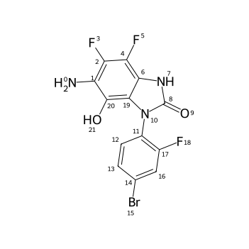 Nc1c(F)c(F)c2[nH]c(=O)n(-c3ccc(Br)cc3F)c2c1O